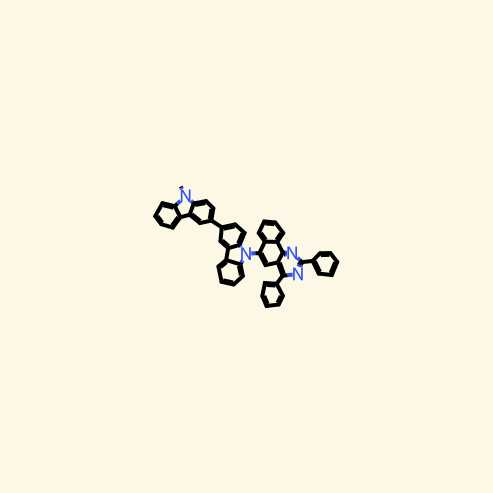 Cn1c2ccccc2c2cc(-c3ccc4c(c3)c3ccccc3n4-c3cc4c(-c5ccccc5)nc(-c5ccccc5)nc4c4ccccc34)ccc21